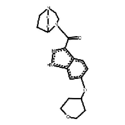 O=C(c1n[nH]c2cc(OC3CCOCC3)ccc12)N1CCN2CCC1CC2